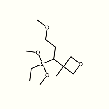 CC[Si](OC)(OC)C(CCOC)C1(C)COC1